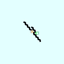 CCCCCCCC[P]CCCCCCCC.CCCCCCl